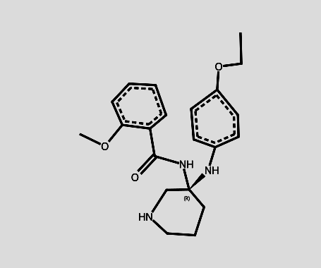 CCOc1ccc(N[C@@]2(NC(=O)c3ccccc3OC)CCCNC2)cc1